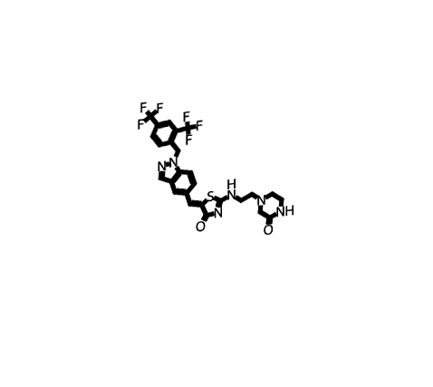 O=C1CN(CCNC2=NC(=O)/C(=C/c3ccc4c(cnn4Cc4ccc(C(F)(F)F)cc4C(F)(F)F)c3)S2)CCN1